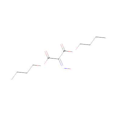 CCCCOC(=O)C(=NO)C(=O)OCCCC